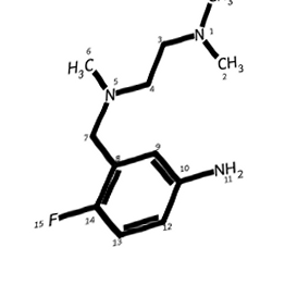 CN(C)CCN(C)Cc1cc(N)ccc1F